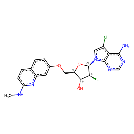 CNc1ccc2ccc(OC[C@H]3O[C@@H](n4cc(Cl)c5c(N)ncnc54)[C@@H](F)[C@@H]3O)cc2n1